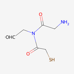 NCC(=O)N(C[C]=O)C(=O)CS